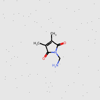 CC1=C(C)C(=O)N(CN)C1=O